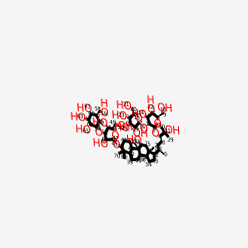 C[C@H](CC[C@@H](O[C@@H]1O[C@H](CO)[C@@H](O)[C@H](O)[C@H]1O[C@@H]1O[C@H](CO)[C@@H](O)[C@H](O)[C@H]1O)C(C)(C)O)C1CC[C@@]2(C)C3CC=C4C(CC[C@H](O[C@@H]5O[C@H](CO)[C@@H](O)[C@H](O[C@@H]6C[C@H](CO)[C@@H](O)[C@H](O)[C@H]6O)[C@H]5O)C4(C)C)[C@]3(C)[C@H](O)C[C@]12C